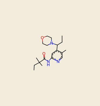 CCC(c1cc(NC(=O)C(C)(C)CC)ncc1C)N1CCOCC1